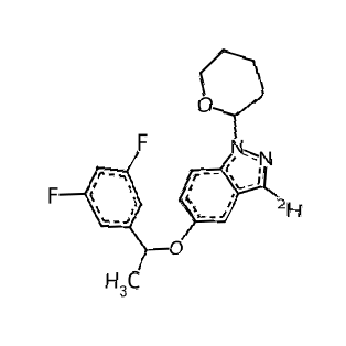 [2H]c1nn(C2CCCCO2)c2ccc(OC(C)c3cc(F)cc(F)c3)cc12